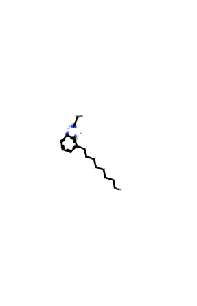 CCCCCCCCCCCCCCCCCCc1cccc2nc(CCl)[nH]c12